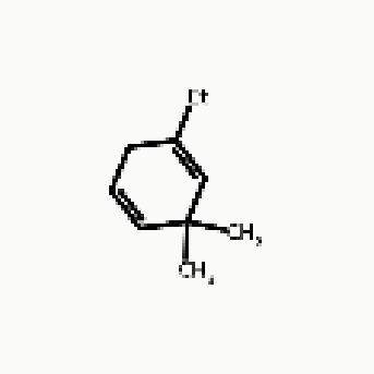 CCC1=CC(C)(C)C=CC1